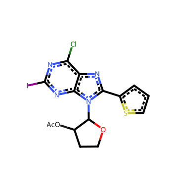 CC(=O)OC1CCOC1n1c(-c2cccs2)nc2c(Cl)nc(I)nc21